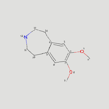 COc1cc2c(cc1OC)CC[N]CC2